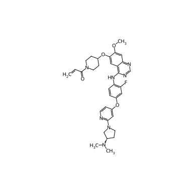 C=CC(=O)N1CCC(Oc2cc3c(Nc4ccc(Oc5ccnc(N6CC[C@@H](N(C)C)C6)c5)cc4F)ncnc3cc2OC)CC1